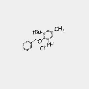 Cc1cc(PCl)c(OCc2ccccc2)c(C(C)(C)C)c1